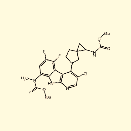 CN(C(=O)OC(C)(C)C)c1cc(F)c(F)c2c1[nH]c1ncc(Cl)c(N3CCC4(CC4NC(=O)OC(C)(C)C)C3)c12